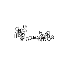 COc1cccc2c(C(=O)N3C4[C@H]5C([C@H]3c3ncc(C#Cc6ccc7cc(-c8cnc([C@@H]9C[C@H]%10[C@@H](C)[C@H]%10N9C(=O)c9nc(Cl)cc%10c(OC)cccc9%10)[nH]8)ccc7c6)[nH]3)[C@@]45C)nc(Cl)cc12